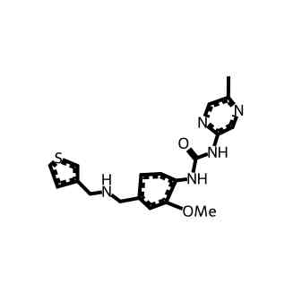 COc1cc(CNCc2ccsc2)ccc1NC(=O)Nc1cnc(C)cn1